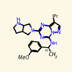 COc1cccc([C@H](C)Nc2nc(N3CC4CCNC4C3)nc3c(C(C)C)cnn23)c1